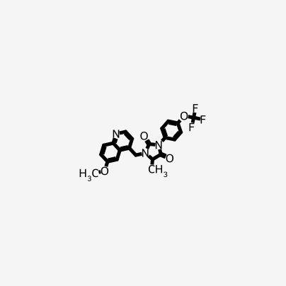 COc1ccc2nccc(CN3C(=O)N(c4ccc(OC(F)(F)F)cc4)C(=O)C3C)c2c1